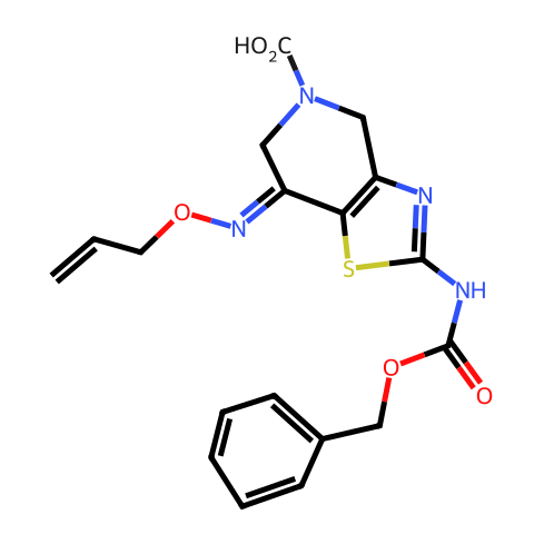 C=CCON=C1CN(C(=O)O)Cc2nc(NC(=O)OCc3ccccc3)sc21